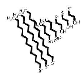 CCCCCCCCCCCC[S-].CCCCCCCCCCCC[S-].CCCCCCCCCCCC[S-].CCC[CH2][Sn+3].CCC[CH2][Sn+3].OCC[S-].OCC[S-].OCC[S-]